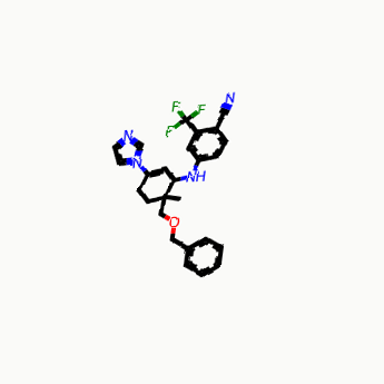 CC1(COCc2ccccc2)CCC(n2ccnc2)=CC1Nc1ccc(C#N)c(C(F)(F)F)c1